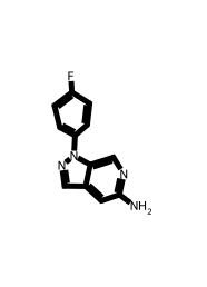 Nc1cc2cnn(-c3ccc(F)cc3)c2cn1